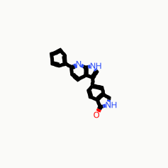 O=C1NCc2cc(-c3c[nH]c4nc(-c5ccccc5)ccc34)ccc21